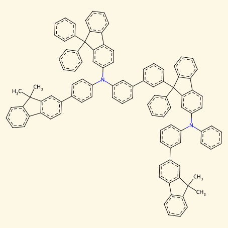 CC1(C)c2ccccc2-c2ccc(-c3ccc(N(c4cccc(-c5cccc(C6(c7ccccc7)c7ccccc7-c7ccc(N(c8ccccc8)c8cccc(-c9ccc%10c(c9)C(C)(C)c9ccccc9-%10)c8)cc76)c5)c4)c4ccc5c(c4)C(c4ccccc4)(c4ccccc4)c4ccccc4-5)cc3)cc21